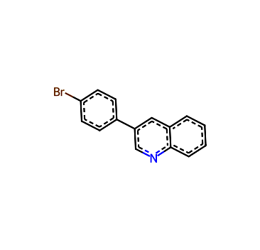 Brc1ccc(-c2cnc3ccccc3c2)cc1